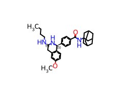 CCCCN[C@H]1Cc2cc(OC)ccc2[C@H](c2ccc(C(=O)NC34CC5CC(CC(C5)C3)C4)cc2)N1